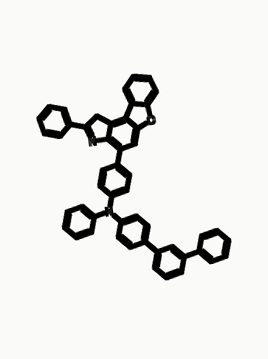 c1ccc(C2=Nc3c(-c4ccc(N(c5ccccc5)c5ccc(-c6cccc(-c7ccccc7)c6)cc5)cc4)cc4oc5ccccc5c4c3C2)cc1